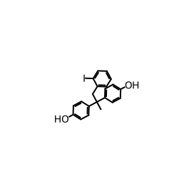 CC(Cc1ccccc1I)(c1ccc(O)cc1)c1ccc(O)cc1